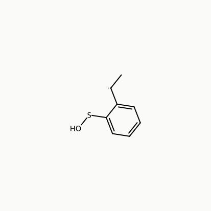 C[CH]c1ccccc1SO